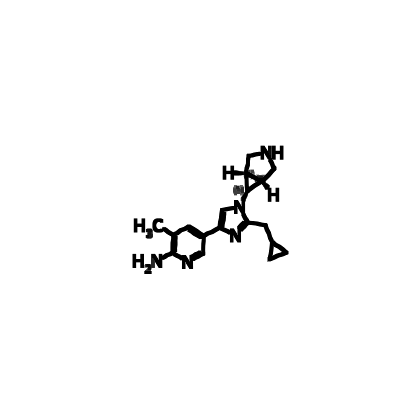 Cc1cc(-c2cn([C@H]3[C@@H]4CNC[C@@H]43)c(CC3CC3)n2)cnc1N